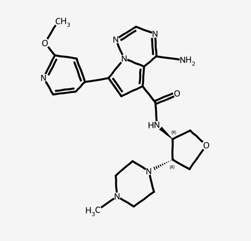 COc1cc(-c2cc(C(=O)N[C@H]3COC[C@@H]3N3CCN(C)CC3)c3c(N)ncnn23)ccn1